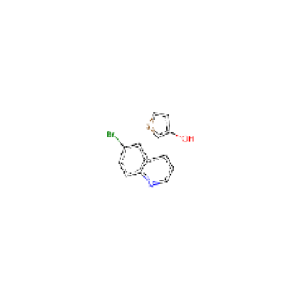 Brc1ccc2ncccc2c1.Oc1ccsc1